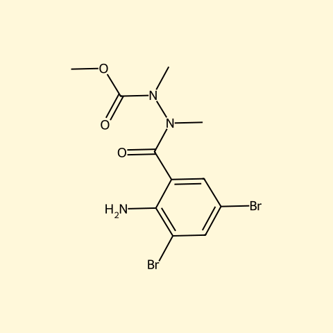 COC(=O)N(C)N(C)C(=O)c1cc(Br)cc(Br)c1N